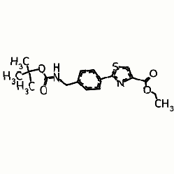 CCOC(=O)c1csc(-c2ccc(CNC(=O)OC(C)(C)C)cc2)n1